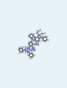 C=Cc1c(/C=C\C)c2c3c4ccccc4n(-c4ccc(-c5nc(-c6ccccc6)nc(-c6ccccc6)n5)c(C#N)c4C#N)c3ccc2n1-c1ccccc1